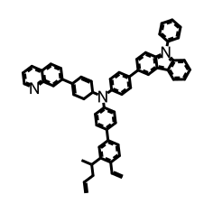 C=CCC(C)c1cc(-c2ccc(N(c3ccc(-c4ccc5c(c4)c4ccccc4n5-c4ccccc4)cc3)C3C=CC(c4ccc5cccnc5c4)=CC3)cc2)ccc1C=C